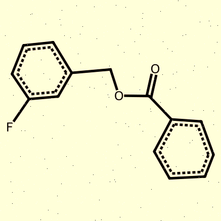 O=C(OCc1cccc(F)c1)c1ccccc1